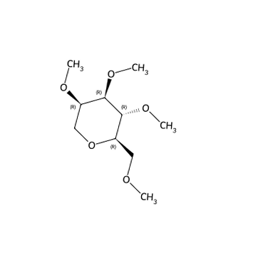 COC[C@H]1OC[C@@H](OC)[C@@H](OC)[C@@H]1OC